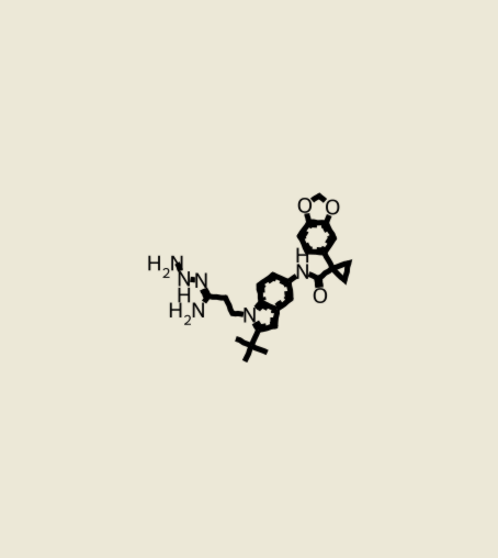 CC(C)(C)c1cc2cc(NC(=O)C3(c4ccc5c(c4)OCO5)CC3)ccc2n1CC/C(N)=N/NN